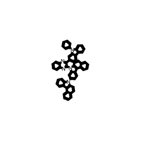 c1ccc(-n2c3ccccc3c3ccc(-c4nc5ccccc5nc4-n4c5cc(-n6c7ccccc7c7c8ccccc8ccc76)ccc5c5c6ccccc6ccc54)cc32)cc1